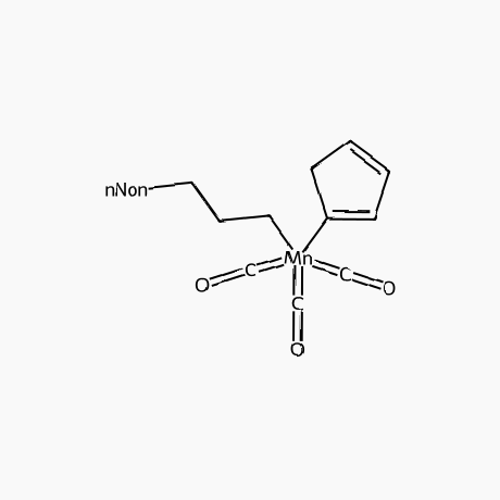 CCCCCCCCCCC[CH2][Mn](=[C]=O)(=[C]=O)(=[C]=O)[C]1=CC=CC1